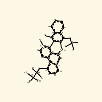 Cc1c2c(c(CC(C)(C)C)c3ccccc13)Oc1cc3cccc(CC(C)(C)C(F)(F)F)c3c3cc[n+](C)c-2c13